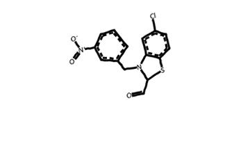 O=CC1Sc2ccc(Cl)cc2N1Cc1cccc([N+](=O)[O-])c1